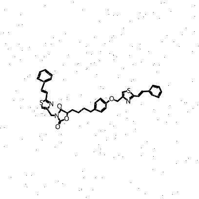 O=C1OC(CCCCc2ccc(OCc3csc(/C=C/c4ccccc4)n3)cc2)C(=O)N1Cc1csc(/C=C/c2ccccc2)n1